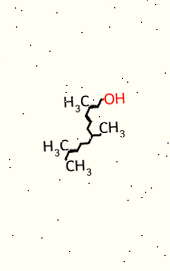 CCC(C)=CCCC(CC)CC=CC(C)=CCO